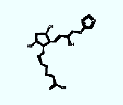 O=C(O)CCC/C=C\C[C@@H]1[C@@H](/C=C/C(O)COc2ccsc2)[C@H](O)C[C@@H]1O